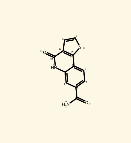 NC(=O)c1ccc2c(c1)[nH]c(=O)c1ccsc12